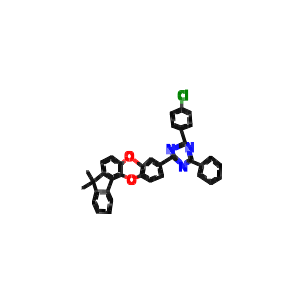 CC1(C)c2ccccc2-c2c1ccc1c2Oc2ccc(-c3nc(-c4ccccc4)nc(-c4ccc(Cl)cc4)n3)cc2O1